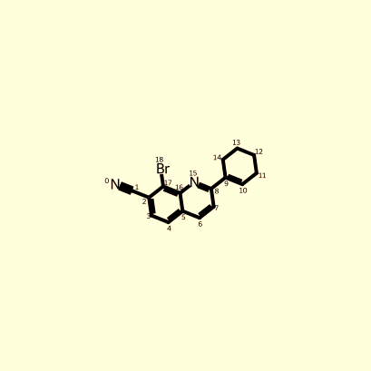 N#Cc1ccc2ccc(C3=CCCCC3)nc2c1Br